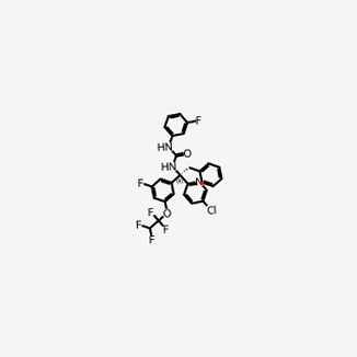 O=C(Nc1cccc(F)c1)N[C@](Cc1ccccc1)(c1cc(F)cc(OC(F)(F)C(F)F)c1)c1ccc(Cl)cn1